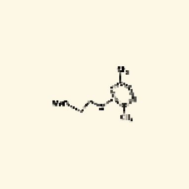 COCCOc1cc(C(F)(F)F)cnc1C